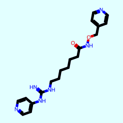 N=C(NCCCCCCC(=O)NOCc1ccncc1)Nc1ccncc1